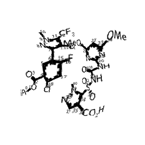 CC(C)OC(=O)c1cc(-c2nn(C)c(C(F)(F)F)c2Br)c(F)cc1Cl.COc1cc(OC)nc(NC(=O)NS(=O)(=O)c2c(C(=O)O)cnn2C)n1